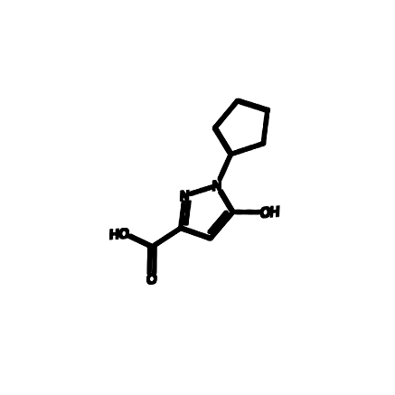 O=C(O)c1cc(O)n(C2CCCC2)n1